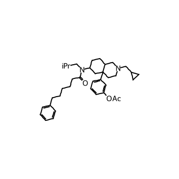 CC(=O)Oc1cccc(C23CCN(CC4CC4)CC2CCC(N(CC(C)C)C(=O)CCCCCc2ccccc2)C3)c1